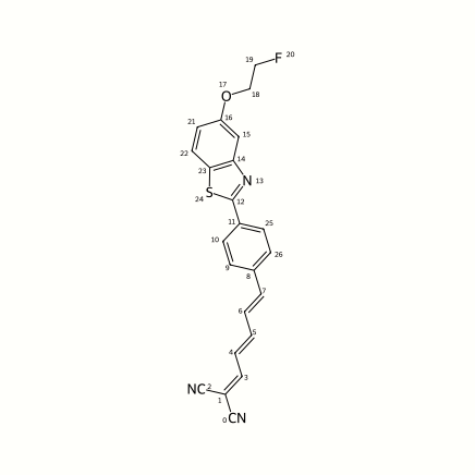 N#CC(C#N)=C/C=C/C=C/c1ccc(-c2nc3cc(OCCF)ccc3s2)cc1